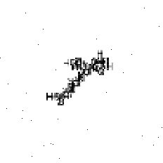 Cc1cc(N=Nc2ccc(N=NC3C(=O)NC(=O)NC3=O)c3ccc(S(=O)(=O)O)cc23)ccc1N=Nc1ccc(C(=O)O)cc1